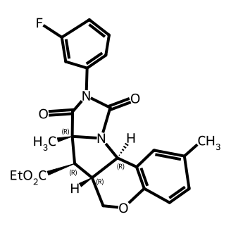 CCOC(=O)[C@@H]1[C@H]2COc3ccc(C)cc3[C@@H]2N2C(=O)N(c3cccc(F)c3)C(=O)[C@@]12C